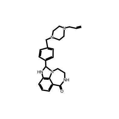 C=CCN1CCN(Cc2ccc(C3Nc4cccc5c4N3CCNC5=O)cc2)CC1